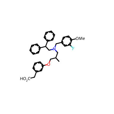 COc1ccc(CN(CC(C)COc2cccc(CC(=O)O)c2)CC(c2ccccc2)c2ccccc2)cc1F